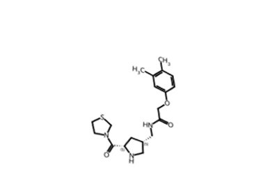 Cc1ccc(OCC(=O)NC[C@@H]2CN[C@H](C(=O)N3CCSC3)C2)cc1C